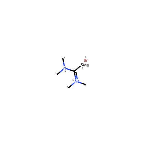 CSC(N(C)C)=[N+](C)C.[Br-]